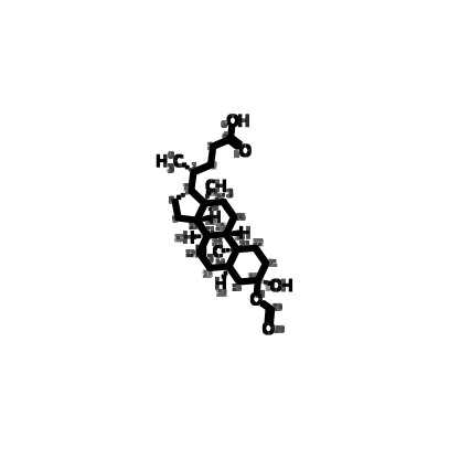 C[C@H](CCC(=O)O)[C@H]1CC[C@H]2[C@@H]3CC[C@@H]4C[C@](O)(OC=O)CC[C@]4(C)[C@H]3CC[C@]12C